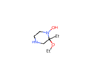 CCOC1(CC)CNCCN1O